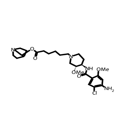 COc1cc(N)c(Cl)cc1C(=O)N[C@@H]1CCN(CCCCCC(=O)OC2CN3CCC2CC3)C[C@H]1OC